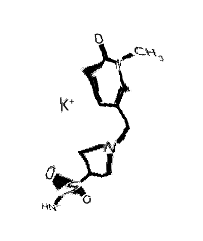 Cn1cc(CN2CC(S([NH-])(=O)=O)C2)ccc1=O.[K+]